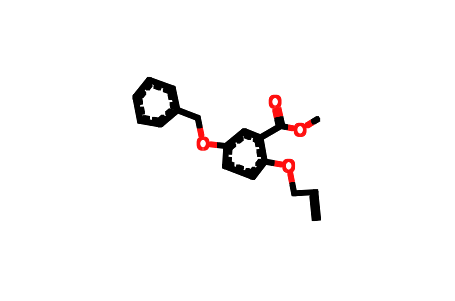 C=CCOc1ccc(OCc2ccccc2)cc1C(=O)OC